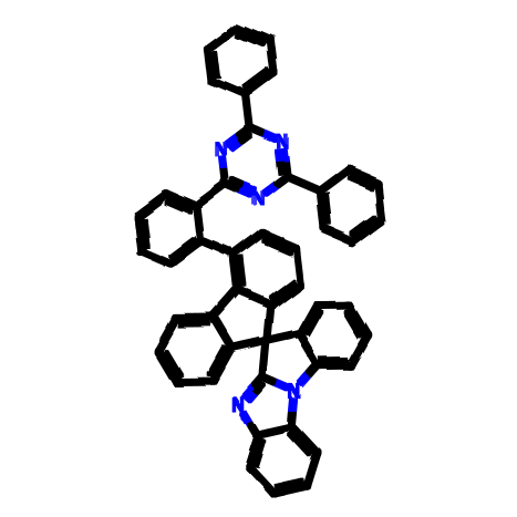 c1ccc(-c2nc(-c3ccccc3)nc(-c3ccccc3-c3cccc4c3-c3ccccc3C43c4ccccc4-n4c3nc3ccccc34)n2)cc1